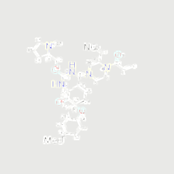 C=CC(=O)N1CCN(C2NC(OCC3CCCN3C)NC3C(=O)[C@@]4(CCC32)Cc2cc(OC)ccc2O4)CC1CC#N